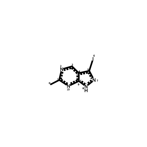 Cc1ncc2c(I)n[nH]c2n1